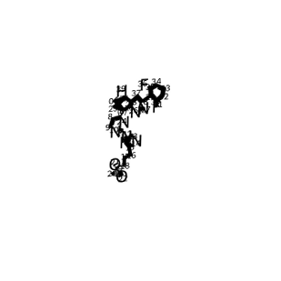 CC1(C)[C@H]2CC[C@]1(c1ccnc(-n3cnc(CCCS(C)(=O)=O)n3)n1)c1nnc(-c3c(F)cccc3F)cc12